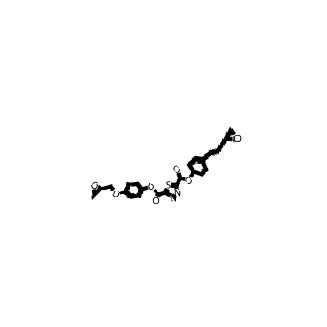 O=C(Oc1ccc(CCC2CO2)cc1)c1nnc(C(=O)Oc2ccc(OCC3CO3)cc2)s1